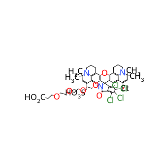 CCC1=CC(C)(C)N2CCCc3c4c(cc1c32)C1(c2cc3c5c(c2O4)CCCN5C(C)(C)C=C3CS(=O)(=O)O)c2c(Cl)c(Cl)c(Cl)c(Cl)c2C(=O)N1OCCOCCOCCOCCC(=O)O